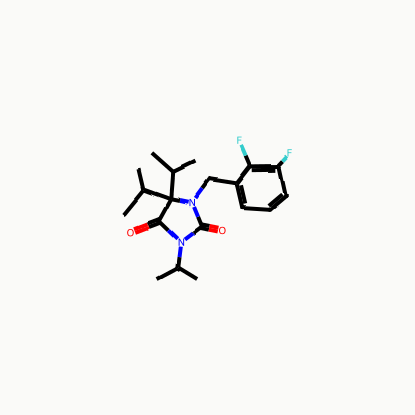 CC(C)N1C(=O)N(Cc2cccc(F)c2F)C(C(C)C)(C(C)C)C1=O